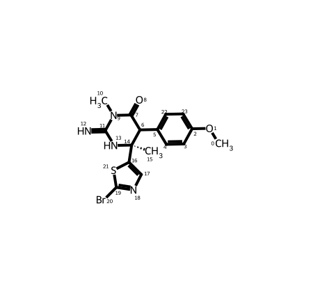 COc1ccc(C2C(=O)N(C)C(=N)N[C@]2(C)c2cnc(Br)s2)cc1